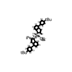 CC1=Cc2c(-c3ccc(C(C)(C)C)cc3)cccc2C1[Si](C)(C)[Zr+2][CH]1C(C(C)C)=Cc2c(-c3ccc(C(C)(C)C)cc3)cccc21.[Cl-].[Cl-]